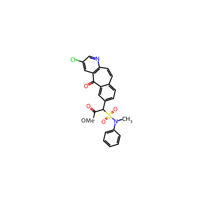 COC(=O)C(c1ccc2ccc3ncc(Cl)cc3c(=O)c2c1)S(=O)(=O)N(C)c1ccccc1